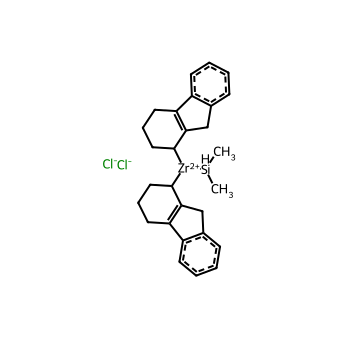 C[SiH](C)[Zr+2]([CH]1CCCC2=C1Cc1ccccc12)[CH]1CCCC2=C1Cc1ccccc12.[Cl-].[Cl-]